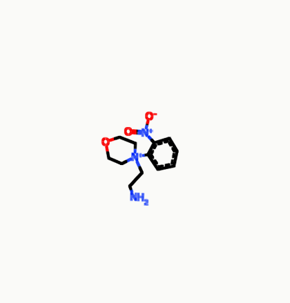 NCC[N+]1(c2ccccc2[N+](=O)[O-])CCOCC1